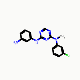 CN(c1cccc(Cl)c1)c1ncnc(Nc2cccc(N)c2)n1